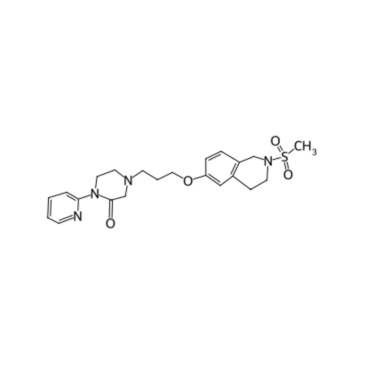 CS(=O)(=O)N1CCc2cc(OCCCN3CCN(c4ccccn4)C(=O)C3)ccc2C1